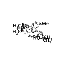 CSc1ccc([C@H]2CC3(C)C(CCC3(O)C(C)(F)C(C)(F)F)C3CC[C@@]4(N=O)CC5(CCC4=C32)OCC(C)(C)CO5)cc1